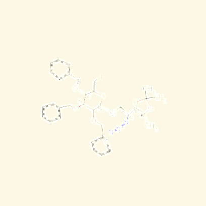 C[C@H]1OC(C)(C)O[C@H]1[C@H](CO[C@H]1OC(CF)[C@@H](OCc2ccccc2)[C@H](OCc2ccccc2)C1OCc1ccccc1)N=[N+]=[N-]